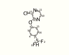 F[SH](F)c1ccc(Oc2nccnc2Cl)cc1